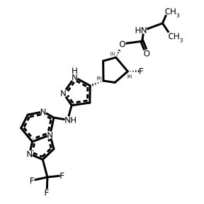 CC(C)NC(=O)O[C@H]1C[C@@H](c2cc(Nc3nccc4nc(C(F)(F)F)cn34)n[nH]2)C[C@H]1F